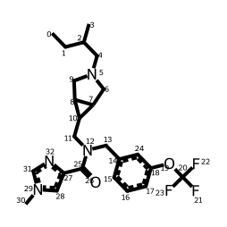 CCC(C)CN1CC2C(C1)C2CN(Cc1cccc(OC(F)(F)F)c1)C(=O)c1cn(C)cn1